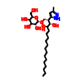 CCCCCCCCCCCCCC[C@@H](O)[C@@H](O)[C@H](CO[C@H]1O[C@H](CO)[C@H](O)[C@H](O)[C@H]1O)c1cc(C)n[nH]1